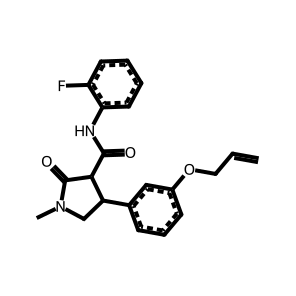 C=CCOc1cccc(C2CN(C)C(=O)C2C(=O)Nc2ccccc2F)c1